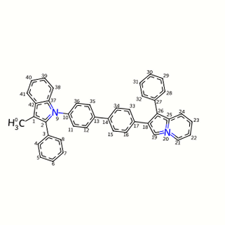 Cc1c(-c2ccccc2)n(-c2ccc(-c3ccc(-c4cn5ccccc5c4-c4ccccc4)cc3)cc2)c2ccccc12